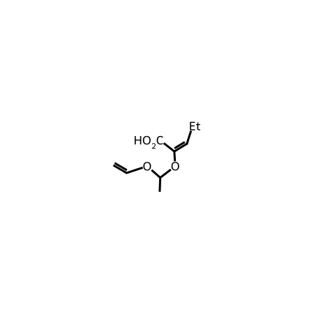 C=COC(C)O/C(=C/CC)C(=O)O